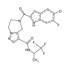 CC(NC(=O)c1cnn2c1CN(C(=O)c1cc3cc(Cl)c(F)cc3[nH]1)CC2)C(F)(F)F